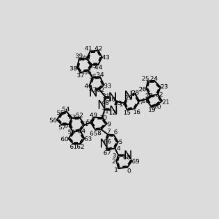 c1ccc(-c2ccc(-c3cc(-c4nc(-c5ccc(-c6cccc7ccccc67)cn5)nc(-c5ccc(-c6cccc7ccccc67)cn5)n4)cc(-c4cc5ccccc5c5ccccc45)c3)nc2)nc1